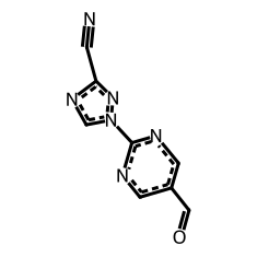 N#Cc1ncn(-c2ncc(C=O)cn2)n1